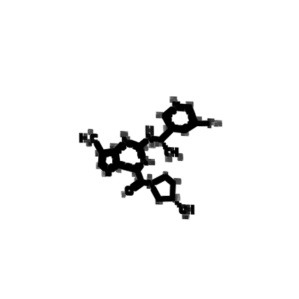 Cc1csc2c(C(=O)N3CC[C@H](O)C3)nc(N[C@@H](C)c3cncc(F)c3)nc12